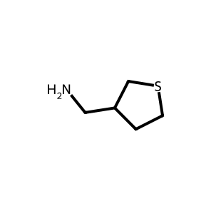 NCC1CCSC1